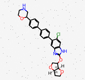 Clc1cc2[nH]c(OC3CO[C@@H]4CCO[C@H]34)nc2cc1-c1ccc(-c2ccc(C3CNCCO3)cc2)cc1